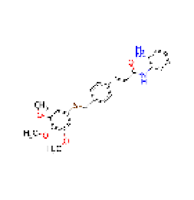 COc1cc(SCc2ccc(C=CC(=O)Nc3ccccc3N)cc2)cc(OC)c1OC